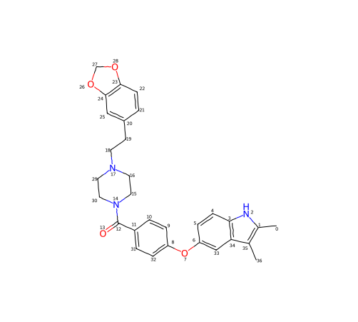 Cc1[nH]c2ccc(Oc3ccc(C(=O)N4CCN(CCc5ccc6c(c5)OCO6)CC4)cc3)cc2c1C